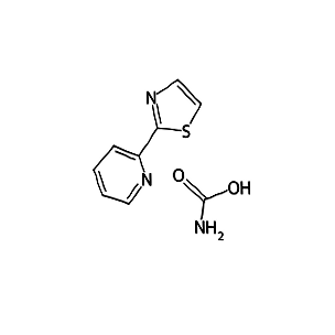 NC(=O)O.c1ccc(-c2nccs2)nc1